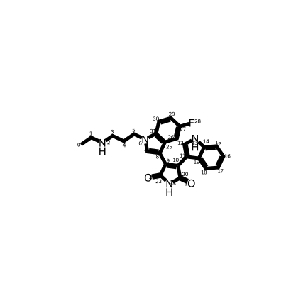 CCNCCCn1cc(C2=C(c3c[nH]c4ccccc34)C(=O)NC2=O)c2cc(F)ccc21